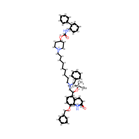 CC(C)(C)[Si](C)(C)OC(CN(CCCCCCCCCN1CCC(OC(=O)Nc2ccccc2-c2ccccc2)CC1)Cc1ccccc1)c1ccc(OCc2ccccc2)c2[nH]c(=O)ccc12